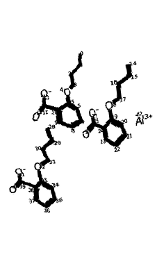 CCCCOc1ccccc1C(=O)[O-].CCCCOc1ccccc1C(=O)[O-].CCCCOc1ccccc1C(=O)[O-].[Al+3]